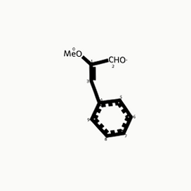 COC([C]=O)=Cc1ccccc1